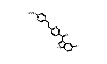 COc1ccc(CCc2ccc(C(=O)c3c[nH]c4ncc(Cl)cc34)cn2)cn1